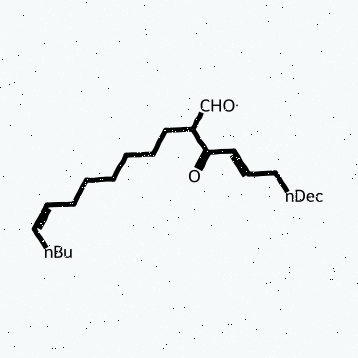 CCCC/C=C\CCCCCCC([C]=O)C(=O)C=CCCCCCCCCCCC